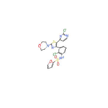 O=S(=O)(Nc1cccc(-c2nc(N3CCOCC3)sc2-c2ccnc(Cl)n2)c1Cl)c1ccco1